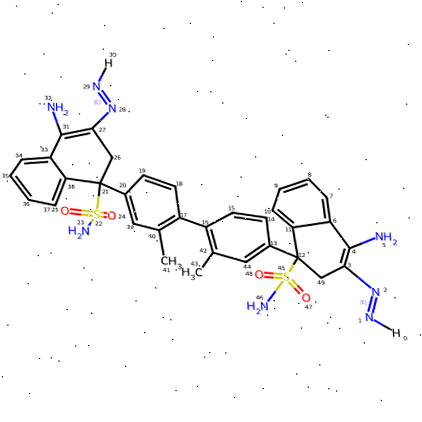 [H]/N=N/C1=C(N)c2ccccc2C(c2ccc(-c3ccc(C4(S(N)(=O)=O)CC(/N=N/[H])=C(N)c5ccccc54)cc3C)c(C)c2)(S(N)(=O)=O)C1